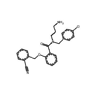 N#Cc1ccccc1COc1ccccc1C(=O)N(CCCN)Cc1ccc(Cl)cc1